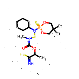 CCC1(CC)COP(=S)(N(SN(C)C(=O)OC(C)C(=N)S)C2CCCCC2)OC1